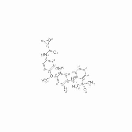 COc1ccc(NC(=O)C2CO2)cc1Nc1ncc(Cl)c(Nc2ccccc2P(C)(C)=O)n1